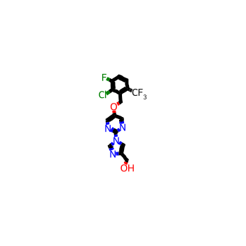 OCc1cn(-c2ncc(OCc3c(C(F)(F)F)ccc(F)c3Cl)cn2)cn1